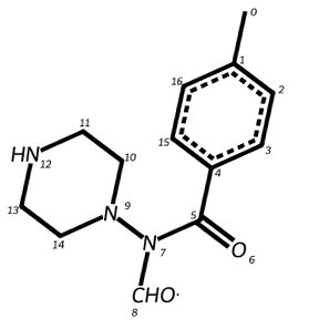 Cc1ccc(C(=O)N([C]=O)N2CCNCC2)cc1